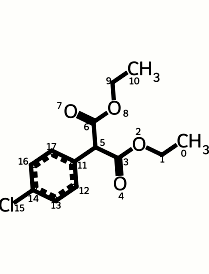 CCOC(=O)C(C(=O)OCC)c1ccc(Cl)cc1